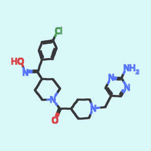 Nc1ncc(CN2CCC(C(=O)N3CCC(/C(=N/O)c4ccc(Cl)cc4)CC3)CC2)cn1